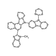 Cn1c(-c2cc3c(c4ccccc24)c2ccccc2n3-c2ccc3c4ccccc4n(-c4ccccn4)c3c2)nc2ccccc21